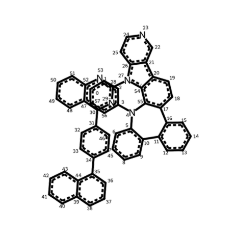 c1ccc(N2c3ccccc3-c3ccccc3-c3ccc4c5cnccc5n(-c5nc(-c6ccc(-c7cccc8ccccc78)cc6)c6ccccc6n5)c4c32)cc1